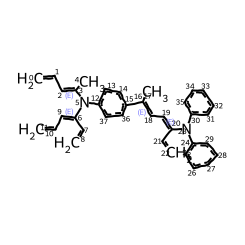 C=C/C=C(\C)N(/C(C=C)=C/C=C)c1ccc(/C(C)=C/C=C(\C=C)N(c2ccccc2)c2ccccc2)cc1